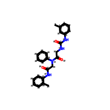 Cc1cccc(NC(=O)NCC(=O)N(CC(=O)Nc2ccccc2C)c2ccccc2)c1